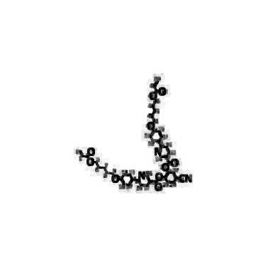 C=CC(=O)OCCCCCOc1ccc(-c2ccc(C(=O)Oc3ccc(C#N)cc3OC(=O)c3ccc(-c4ccc(OCCCCCOC(=O)C=C)cc4)nc3)cn2)cc1